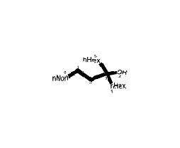 CCCCCCCCCCCC(O)(CCCCCC)CCCCCC